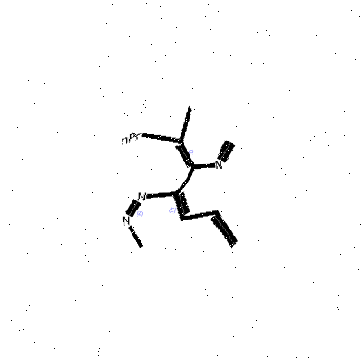 C=C/C=C(/N=N\C)C(\N=C)=C(\C)CCC